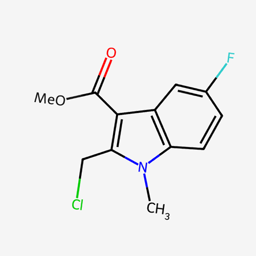 COC(=O)c1c(CCl)n(C)c2ccc(F)cc12